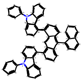 c1ccc(-n2c3ccccc3c3c(-c4cccc5c(-c6cccc7ccccc67)c6cccc(-c7cccc8c7c7ccccc7n8-c7ccccc7)c6cc45)cccc32)cc1